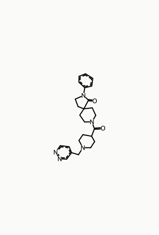 O=C(C1CCN(Cc2ccnnc2)CC1)N1CCC2(CC1)CCN(c1ccccc1)C2=O